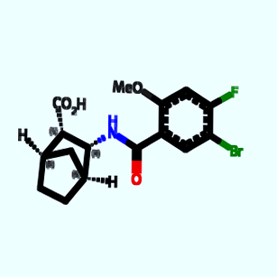 COc1cc(F)c(Br)cc1C(=O)N[C@@H]1[C@H]2CC[C@H](C2)[C@@H]1C(=O)O